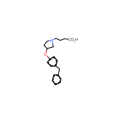 O=C(O)CCCN1CCC(Oc2ccc(Cc3ccccc3)cc2)C1